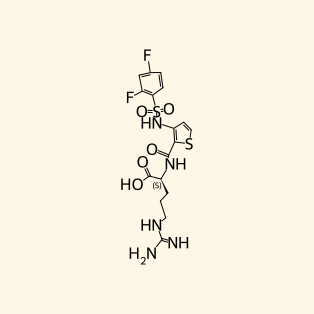 N=C(N)NCCC[C@H](NC(=O)c1sccc1NS(=O)(=O)c1ccc(F)cc1F)C(=O)O